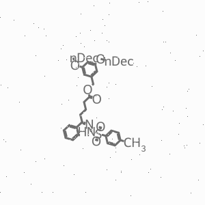 CCCCCCCCCCOc1cc(COC(=O)CCCC(=NNS(=O)(=O)c2ccc(C)cc2)c2ccccc2)cc(OCCCCCCCCCC)c1